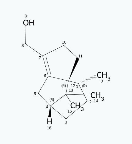 C[C@@H]1CC[C@@H]2CC3=C(CO)CC[C@@]31C2(C)C